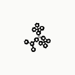 c1ccc(-c2cc(-c3ccccc3)cc(-c3ccc(N(c4ccc5c(c4)-c4ccccc4C5(c4ccccc4)c4ccccc4)c4ccc5c(c4)C(c4ccccc4)(c4ccccc4)c4ccccc4-5)cc3)c2)cc1